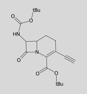 C#CC1=C(C(=O)OC(C)(C)C)N2C(=O)C(NC(=O)OC(C)(C)C)C2CC1